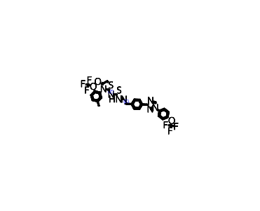 Cc1ccc(OC(F)(F)F)c(N2C(=O)CS/C2=N\C(=S)N/N=C/c2ccc(-c3ncn(-c4ccc(OC(F)(F)F)cc4)n3)cc2)c1